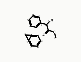 COC(=O)C(O)c1ccccc1.c1ccc2c(c1)C2